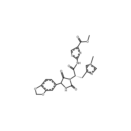 COC(=O)c1csc(NC(=O)[C@H](Cc2cn(C)cn2)N2C(=O)NC(c3ccc4c(c3)OCO4)C2=O)n1